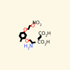 Cc1ccc(OCCO[N+](=O)[O-])cc1OCC(C)N.O=C(O)C=CC(=O)O